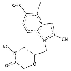 CCN1CC(Cn2c(C#N)cc3c(C)c(C=O)ccc32)OCC1=O